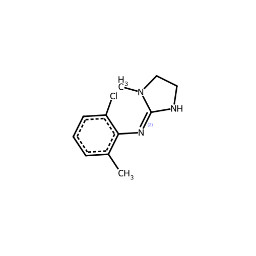 Cc1cccc(Cl)c1/N=C1/NCCN1C